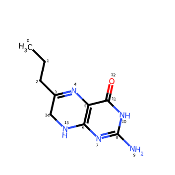 CCCC1=Nc2c(nc(N)[nH]c2=O)NC1